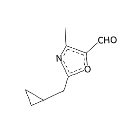 Cc1nc(CC2CC2)oc1C=O